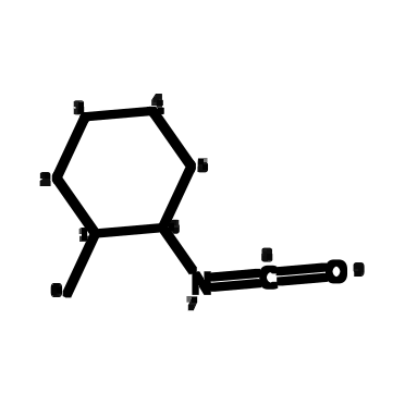 CC1CC[CH]CC1N=C=O